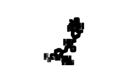 CCCCNc1nc(C(F)(F)F)ccc1C=CC(=O)NCc1cc(C)c(NS(C)(=O)=O)c(F)c1